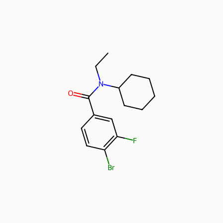 CCN(C(=O)c1ccc(Br)c(F)c1)C1CCCCC1